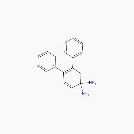 NC1(N)C=CC(c2ccccc2)=C(c2ccccc2)C1